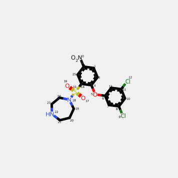 O=[N+]([O-])c1ccc(Oc2cc(Cl)cc(Cl)c2)c(S(=O)(=O)N2CCCNCC2)c1